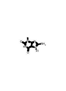 CCn1c(N)nc2c1c(=O)[nH]c(=O)n2C